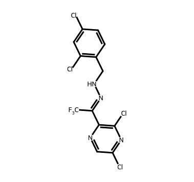 FC(F)(F)/C(=N\NCc1ccc(Cl)cc1Cl)c1ncc(Cl)nc1Cl